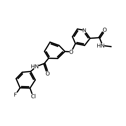 CNC(=O)c1cc(Oc2cccc(C(=O)Nc3ccc(F)c(Cl)c3)c2)ccn1